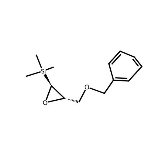 C[Si](C)(C)[C@@H]1O[C@H]1COCc1ccccc1